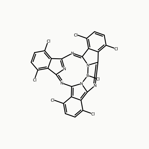 ClB1n2c3c4c(Cl)ccc(Cl)c4c2/N=C2N=C(/N=c4/c5c(Cl)ccc(Cl)c5c(n41)=N3)c1c(Cl)ccc(Cl)c1\2